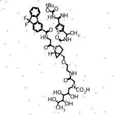 CC(NC(=O)[C@@H]1C[C@]2(COCCNC(=O)CN(CC(O)C(O)C(O)C(C)O)C(=O)O)C[C@@H]2N1C(=O)CNC(=O)c1ccc2c(c1)-c1ccccc1C2(F)F)c1cc(C(=N)NC(=O)OC(C)(C)C)cs1